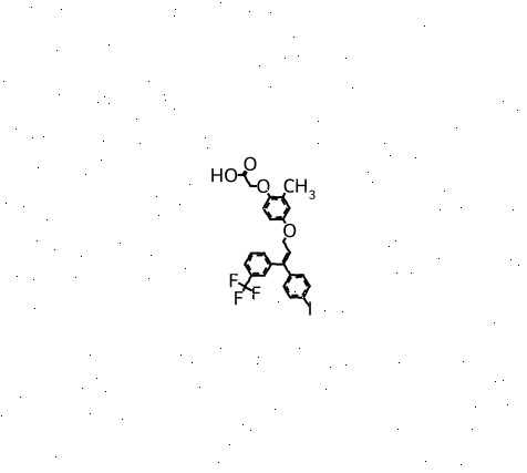 Cc1cc(OCC=C(c2ccc(I)cc2)c2cccc(C(F)(F)F)c2)ccc1OCC(=O)O